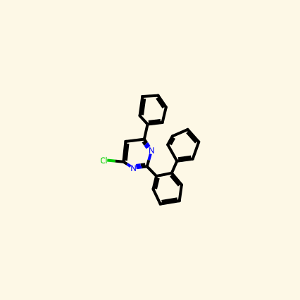 Clc1cc(-c2ccccc2)nc(-c2ccccc2-c2ccccc2)n1